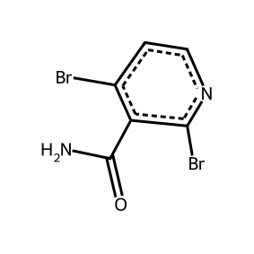 NC(=O)c1c(Br)ccnc1Br